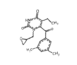 CCc1c(C(=O)c2cc(C)cc(C)c2)n(CC2CO2)c(=O)[nH]c1=O